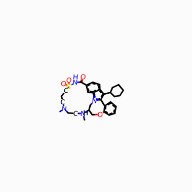 CN1CCCS(=O)(=O)NC(=O)c2ccc3c(C4CCCCC4)c4n(c3c2)C[C@H](COc2ccccc2-4)N(C)CC1